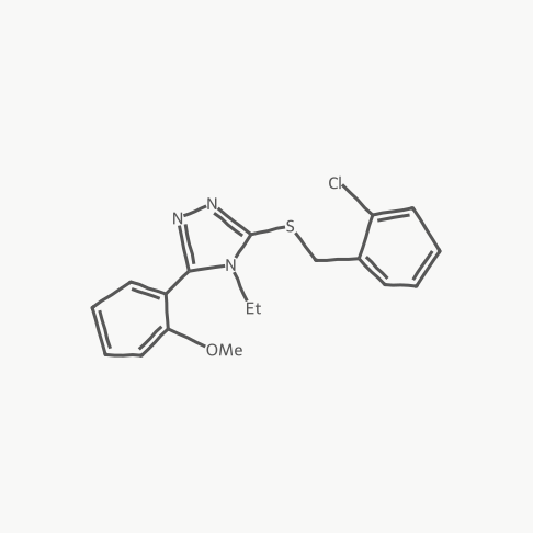 CCn1c(SCc2ccccc2Cl)nnc1-c1ccccc1OC